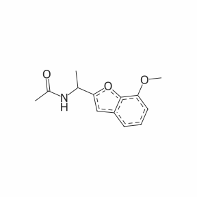 COc1cccc2cc(C(C)NC(C)=O)oc12